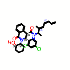 C=C/C=C\C=C(/C)C(C)NC(=O)[C@@H]1c2ccccc2C(=O)N([C@H]2CCCC[C@@H]2O)[C@H]1c1ccc(Cl)cc1Cl